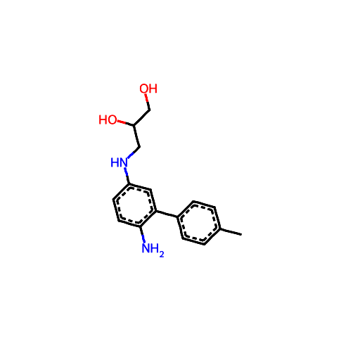 Cc1ccc(-c2cc(NCC(O)CO)ccc2N)cc1